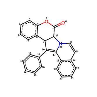 O=C1Oc2ccccc2C2C(c3ccccc3)=C3c4ccccc4C=CN3C12